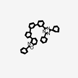 c1ccc(-c2nc(-c3ccccc3)nc(-c3cccc(-c4cccc(-c5cccc(-c6cccc7oc(-c8ccccc8)nc67)c5)c4)c3)n2)cc1